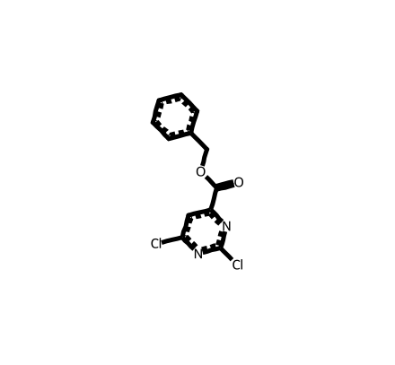 O=C(OCc1ccccc1)c1cc(Cl)nc(Cl)n1